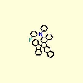 Fc1cccc(N(c2ccccc2)c2cc3c(c4ccccc24)-c2cc4ccccc4cc2C32c3ccccc3-c3ccccc32)c1